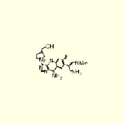 CN/C=C(\CN)c1cc(C(N)c2cc(N3CC[C@@H](CO)C3)ncn2)c(N)cc1F